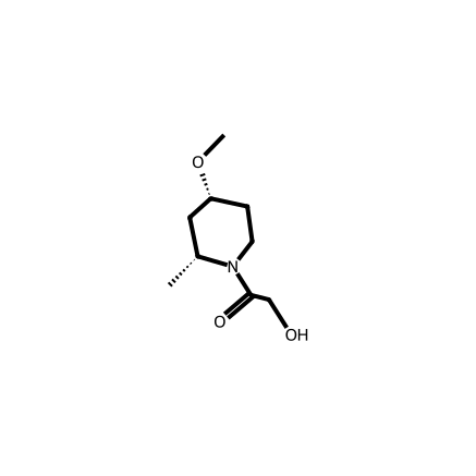 CO[C@@H]1CCN(C(=O)CO)[C@H](C)C1